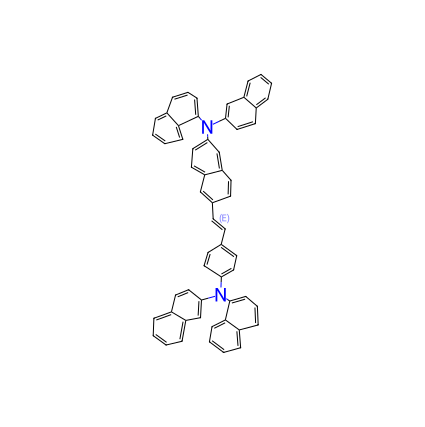 C(=C\c1ccc2cc(N(c3ccc4ccccc4c3)c3cccc4ccccc34)ccc2c1)/c1ccc(N(c2ccc3ccccc3c2)c2cccc3ccccc23)cc1